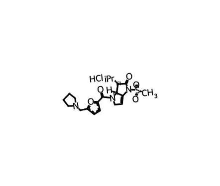 CC(C)[C@H]1C(=O)N(S(C)(=O)=O)C2=CCN(C(=O)c3ccc(CN4CCCC4)o3)[C@@H]21.Cl